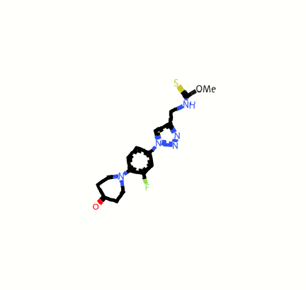 COC(=S)NCc1cn(-c2ccc(N3CCC(=O)CC3)c(F)c2)nn1